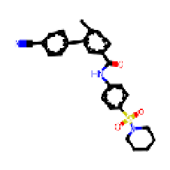 Cc1ccc(C(=O)Nc2ccc(S(=O)(=O)N3CCCCC3)cc2)cc1-c1ccc(C#N)cc1